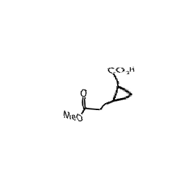 COC(=O)CC1CC1C(=O)O